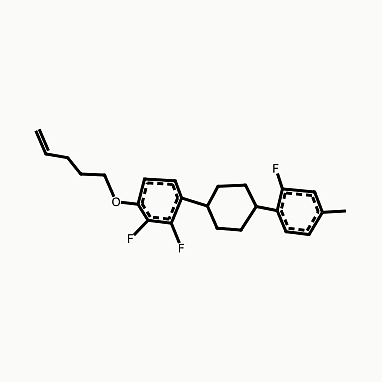 C=CCCCOc1ccc(C2CCC(c3ccc(C)cc3F)CC2)c(F)c1F